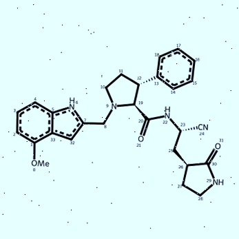 COc1cccc2[nH]c(CN3CC[C@H](c4ccccc4)[C@H]3C(=O)N[C@H](C#N)C[C@@H]3CCNC3=O)cc12